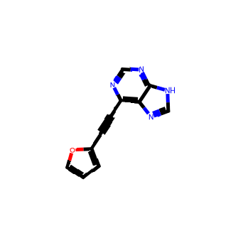 C(#Cc1ncnc2[nH]cnc12)c1ccco1